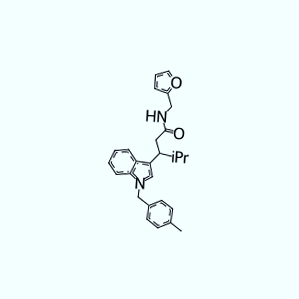 Cc1ccc(Cn2cc(C(CC(=O)NCc3ccco3)C(C)C)c3ccccc32)cc1